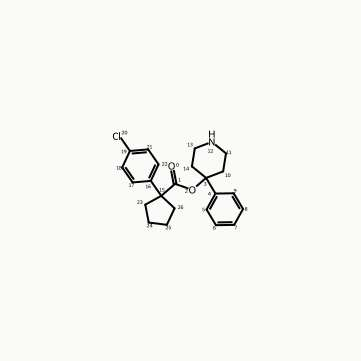 O=C(OC1(c2ccccc2)CCNCC1)C1(c2ccc(Cl)cc2)CCCC1